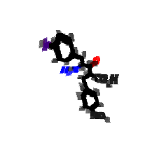 N[C@@H](Cc1ccc(I)cc1)C(=O)C(Cc1ccc([N+](=O)[O-])cc1)C(=O)O